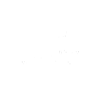 CCC(=O)C1CCCC(n2nc(-c3ccc(Oc4cccc(OC)c4F)cc3)c3cncc(OC)c32)C1